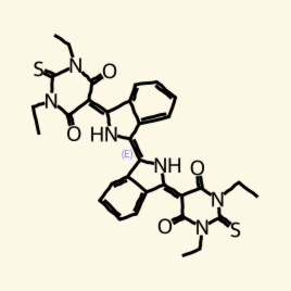 CCN1C(=O)C(=c2[nH]/c(=c3/[nH]c(=C4C(=O)N(CC)C(=S)N(CC)C4=O)c4ccccc34)c3ccccc23)C(=O)N(CC)C1=S